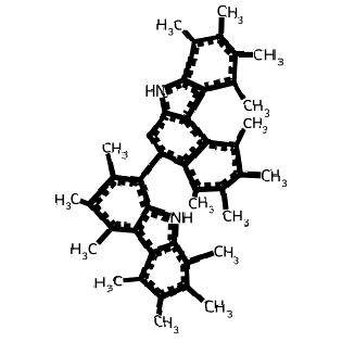 Cc1c(C)c(C)c2c([nH]c3c(-c4cc5[nH]c6c(C)c(C)c(C)c(C)c6c5c5c(C)c(C)c(C)c(C)c45)c(C)c(C)c(C)c32)c1C